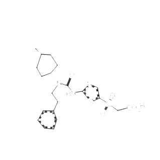 C[C@H]1CC[C@H](N(CCc2ccccc2)C(=O)Nc2ncc(S(=O)(=O)CC(=O)O)s2)CC1